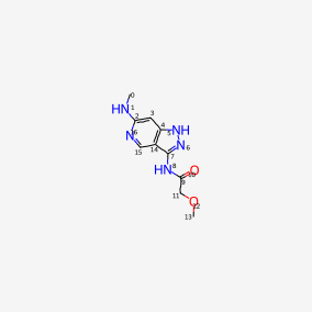 CNc1cc2[nH]nc(NC(=O)COC)c2cn1